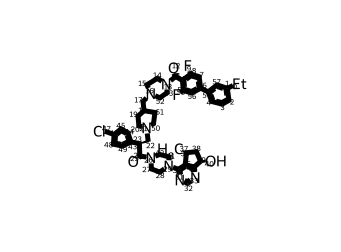 CCc1cccc(-c2cc(F)c(C(=O)N3CCN(CC4CCN(C[C@@H](C(=O)N5CCN(c6ncnc7c6[C@H](C)C[C@H]7O)CC5)c5ccc(Cl)cc5)CC4)CC3)c(F)c2)c1